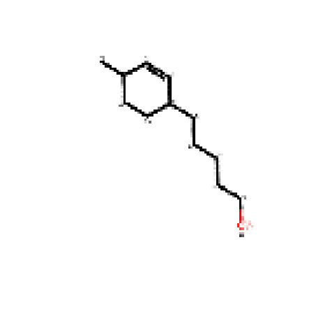 CC1C=CC(CCCCCO)CC1